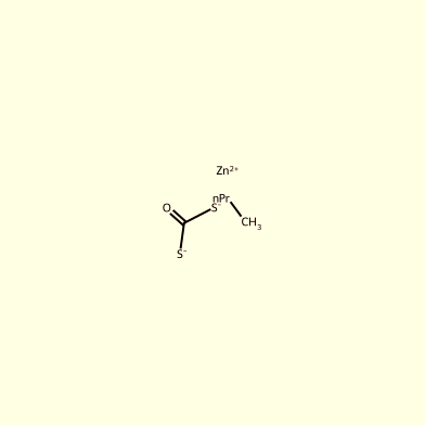 CCCC.O=C([S-])[S-].[Zn+2]